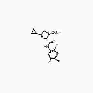 O=C(Nc1cc(Cl)c(F)cc1F)[C@@H]1C=C(C2CC2)CN1C(=O)O